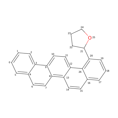 c1ccc2c(c1)ccc1c2ccc2c1ccc1cccc(C3CCCO3)c12